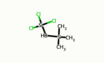 C[Si](C)(C)B[Si](Cl)(Cl)Cl